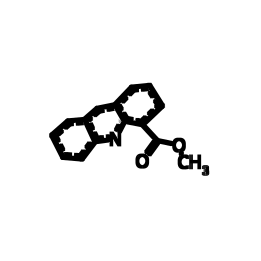 COC(=O)c1cccc2cc3ccccc3nc12